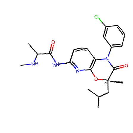 CNC(C)C(=O)Nc1ccc2c(n1)O[C@@](C)(CC(C)C)C(=O)N2c1cccc(Cl)c1